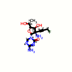 C[C@@H](O)[C@H]1O[C@@H](n2cnc(N)nc2=O)[C@@](N)(C#CCF)C1O